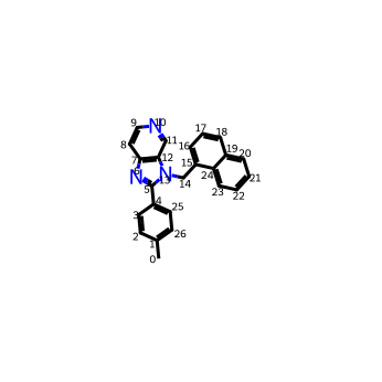 Cc1ccc(-c2nc3ccncc3n2Cc2cccc3ccccc23)cc1